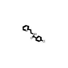 O=C(NCCc1ccccn1)c1ccc(Cl)cc1